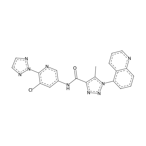 Cc1c(C(=O)Nc2cnc(-n3nccn3)c(Cl)c2)nnn1-c1cccc2ncccc12